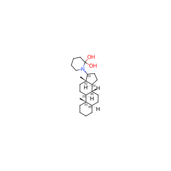 C[C@]12CCCC[C@@H]1CC[C@@H]1[C@@H]2CC[C@]2(C)[C@@H](N3CCCCC3(O)O)CC[C@@H]12